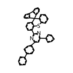 c1ccc(-c2ccc(-c3cc(-c4ccccc4)nc(-c4cccc5c4Sc4ccccc4C54c5ccccc5-c5ccccc54)n3)cc2)cc1